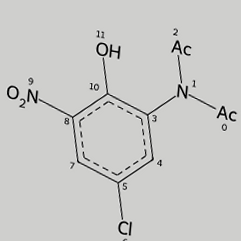 CC(=O)N(C(C)=O)c1cc(Cl)cc([N+](=O)[O-])c1O